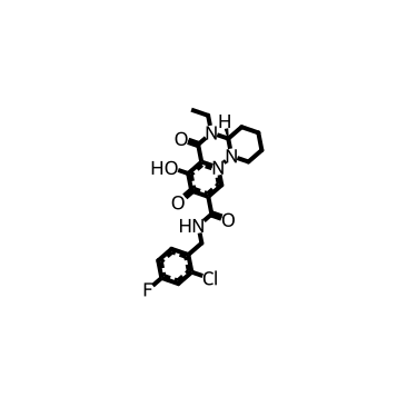 CCN1C(=O)c2c(O)c(=O)c(C(=O)NCc3ccc(F)cc3Cl)cn2N2CCCC[C@@H]12